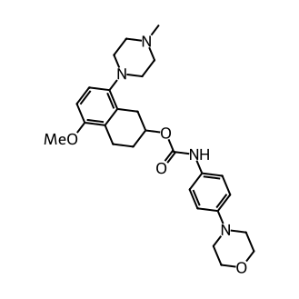 COc1ccc(N2CCN(C)CC2)c2c1CCC(OC(=O)Nc1ccc(N3CCOCC3)cc1)C2